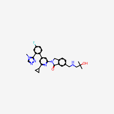 Cn1cnnc1-c1cc(F)ccc1-c1cc(C2CC2)nc(N2Cc3ccc(CNCC(C)(C)O)cc3C2=O)c1